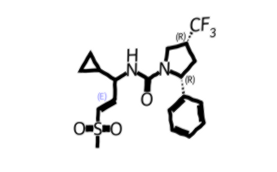 CS(=O)(=O)/C=C/C(NC(=O)N1C[C@H](C(F)(F)F)C[C@@H]1c1ccccc1)C1CC1